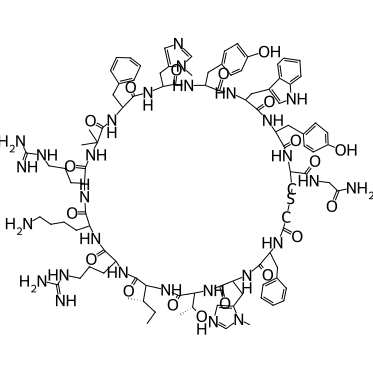 CC[C@H](C)C1NC(=O)C([C@@H](C)O)NC(=O)C(Cc2cncn2C)NC(=O)C(Cc2ccccc2)NC(=O)CSCC(C(=O)NCC(N)=O)NC(=O)C(Cc2ccc(O)cc2)NC(=O)C(Cc2c[nH]c3ccccc23)NC(=O)C(Cc2ccc(O)cc2)NC(=O)C(Cc2cncn2C)NC(=O)C(Cc2ccccc2)NC(=O)C(C)(C)NC(=O)C(CCCNC(=N)N)NC(=O)C(CCCCN)NC(=O)C(CCCNC(=N)N)NC1=O